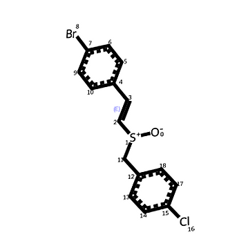 [O-][S+](/C=C/c1ccc(Br)cc1)Cc1ccc(Cl)cc1